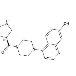 O=C([C@H]1CCNC1)N1CCN(c2ccnc3cc(O)ccc23)CC1